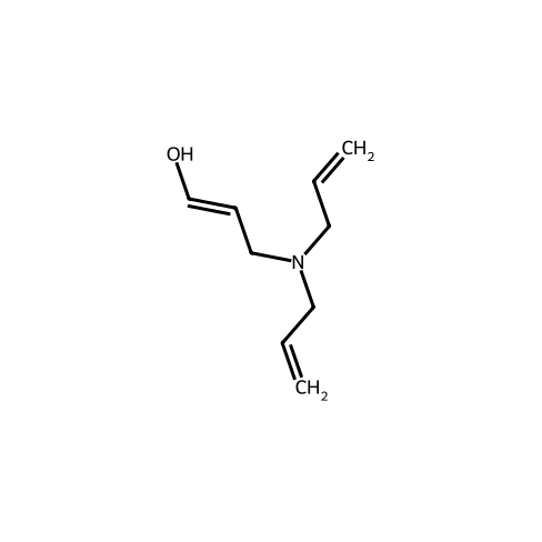 C=CCN(CC=C)CC=CO